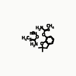 C.C.CC1(C)Cc2cccc(OC(N)=S)c2O1.CCCCOC(N)=S